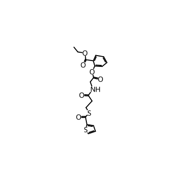 CCOC(=O)c1ccccc1OC(=O)CNC(=O)CCSC(=O)c1cccs1